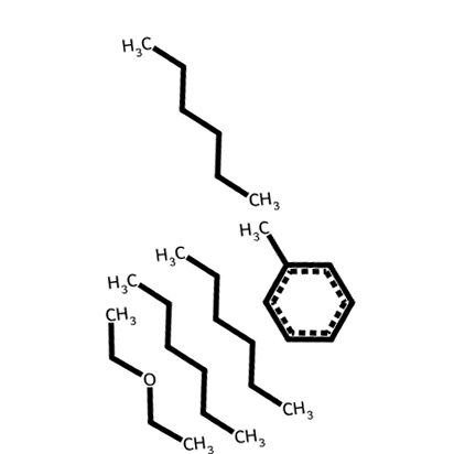 CCCCCC.CCCCCC.CCCCCC.CCOCC.Cc1ccccc1